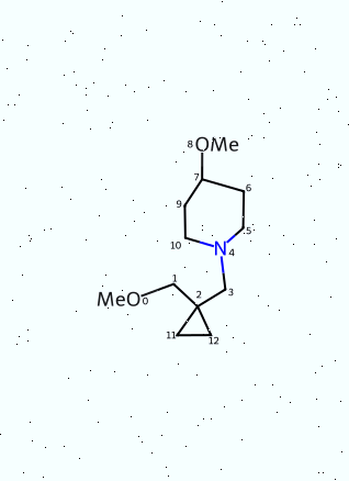 COCC1(CN2CCC(OC)CC2)CC1